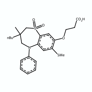 CCCCC1(C)CN(c2ccccc2)c2cc(SC)c(OCCC(=O)O)cc2S(=O)(=O)C1